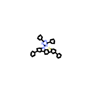 c1ccc(-c2ccc3sc4c(ccc5c6cc(-c7ccccc7)ccc6n(-c6nc(-c7ccccc7)nc(-c7ccccc7)n6)c54)c3c2)cc1